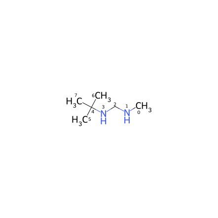 CNCNC(C)(C)C